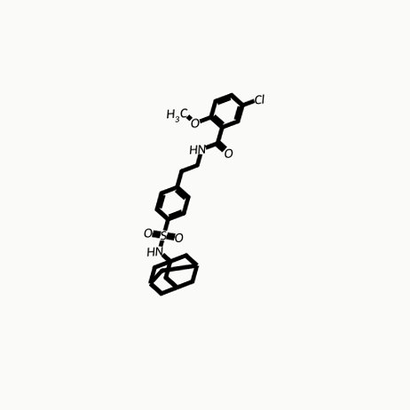 COc1ccc(Cl)cc1C(=O)NCCc1ccc(S(=O)(=O)NC23CC4CC(CC(C4)C2)C3)cc1